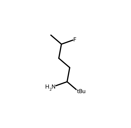 CC(F)CCC(N)C(C)(C)C